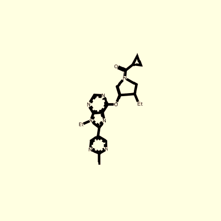 CCC1CN(C(=O)C2CC2)CC1Oc1ncnc2c1nc(-c1cnc(C)nc1)n2CC